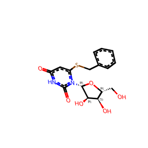 O=c1cc(SCc2ccccc2)n([C@@H]2O[C@H](CO)[C@@H](O)[C@H]2O)c(=O)[nH]1